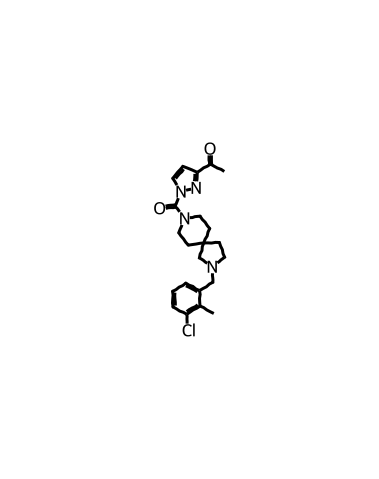 CC(=O)c1ccn(C(=O)N2CCC3(CCN(Cc4cccc(Cl)c4C)C3)CC2)n1